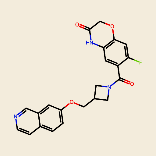 O=C1COc2cc(F)c(C(=O)N3CC(COc4ccc5ccncc5c4)C3)cc2N1